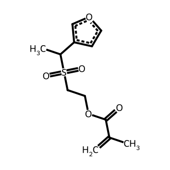 C=C(C)C(=O)OCCS(=O)(=O)C(C)c1ccoc1